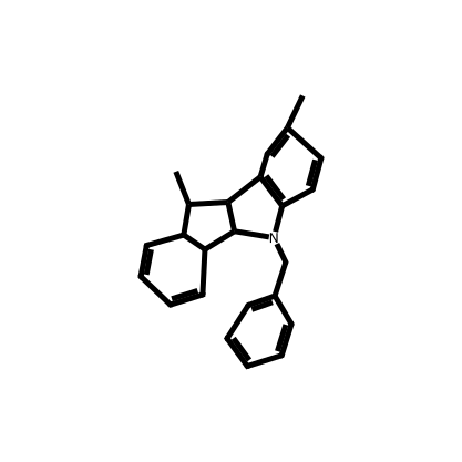 Cc1ccc2c(c1)C1C(C)C3C=CC=CC3C1N2Cc1ccccc1